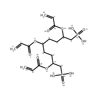 C=CC(=O)OC(CCC(CP(=O)(O)O)OC(=O)C=C)CCC(CP(=O)(O)O)OC(=O)C=C